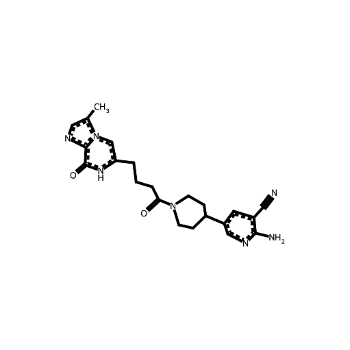 Cc1cnc2c(=O)[nH]c(CCCC(=O)N3CCC(c4cnc(N)c(C#N)c4)CC3)cn12